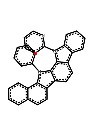 c1ccc(-n2c3c4ccccc4ccc3c3ccc4c5ccccc5n(-c5ncccn5)c4c32)cc1